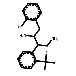 NCC(c1ccccc1C(F)(F)F)C(N)Cc1ccccc1Br